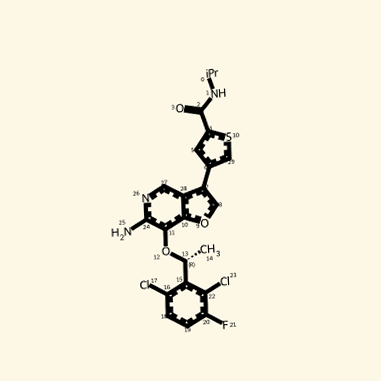 CC(C)NC(=O)c1cc(-c2coc3c(O[C@H](C)c4c(Cl)ccc(F)c4Cl)c(N)ncc23)cs1